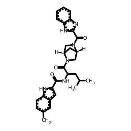 Cc1ccc2[nH]c(C(=O)NC(CC(C)C)C(=O)N3C[C@@H]4C[C@H]3CN4C(=O)c3nc4ccccc4[nH]3)cc2c1